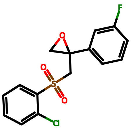 O=S(=O)(CC1(c2cccc(F)c2)CO1)c1ccccc1Cl